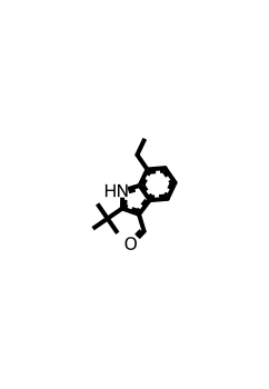 CCc1cccc2c(C=O)c(C(C)(C)C)[nH]c12